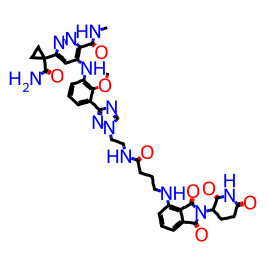 CNC(=O)c1nnc(C2(C(N)=O)CC2)cc1Nc1cccc(-c2ncn(CCNC(=O)CCCNc3cccc4c3C(=O)N(C3CCC(=O)NC3=O)C4=O)n2)c1OC